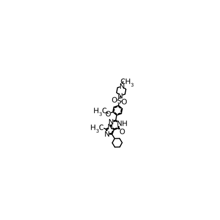 COc1cc(S(=O)(=O)N2CCN(C)CC2)ccc1-c1nn2c(C)nc(C3CCCCC3)c2c(=O)[nH]1